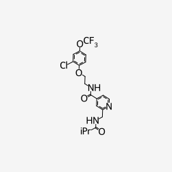 CC(C)C(=O)NCc1cc(C(=O)NCCOc2ccc(OC(F)(F)F)cc2Cl)ccn1